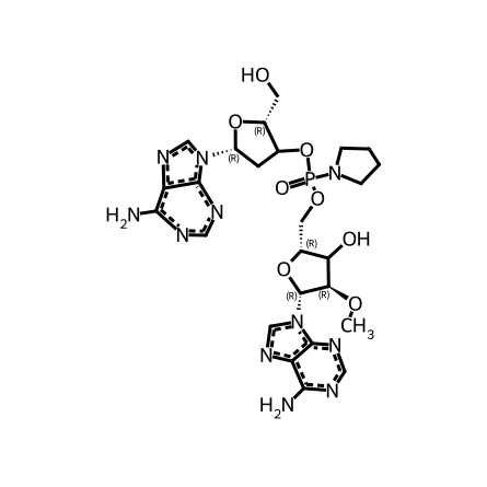 CO[C@@H]1C(O)[C@@H](COP(=O)(OC2C[C@H](n3cnc4c(N)ncnc43)O[C@@H]2CO)N2CCCC2)O[C@H]1n1cnc2c(N)ncnc21